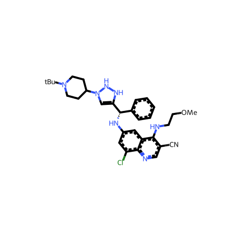 COCCNc1c(C#N)cnc2c(Cl)cc(N[C@H](C3=CN(C4CCN(C(C)(C)C)CC4)NN3)c3ccccc3)cc12